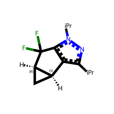 CC(C)c1nn(C(C)C)c2c1[C@H]1C[C@H]1C2(F)F